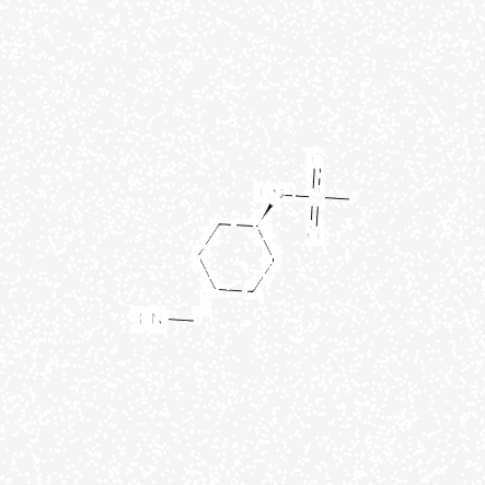 CS(=O)(=O)N[C@H]1CC[C@H](CN)CC1